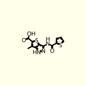 Cc1c(C(=O)O)sc2c(NC(=O)c3cccs3)n[nH]c12